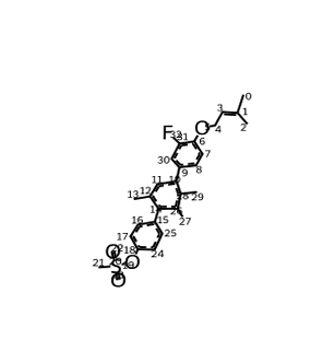 CC(C)=CCOc1ccc(-c2cc(C)c(-c3ccc(OS(C)(=O)=O)cc3)c(C)c2C)cc1F